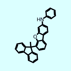 CC1(c2cccc3c2oc2cc(Nc4ccccc4)ccc23)c2ccccc2-c2ccccc21